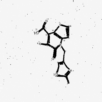 Cc1nc(Cn2c(=O)c(O)c(C(=O)O)c3sccc32)co1